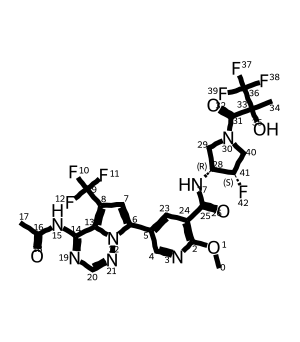 COc1ncc(-c2cc(C(F)(F)F)c3c(NC(C)=O)ncnn23)cc1C(=O)N[C@@H]1CN(C(=O)C(C)(O)C(F)(F)F)C[C@@H]1F